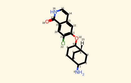 NC1CC[C@@H]2CC1CCC2Oc1cc2cc[nH]c(=O)c2cc1Cl